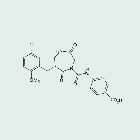 COc1ccc(Cl)cc1CC1CNC(=O)CN(C(=O)Nc2ccc(C(=O)O)cc2)C1=O